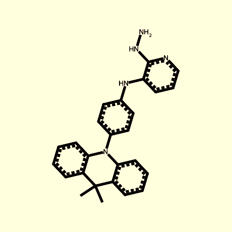 CC1(C)c2ccccc2N(c2ccc(Nc3cccnc3NN)cc2)c2ccccc21